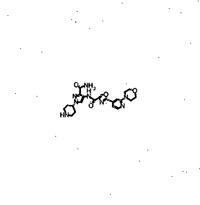 NC(=O)c1nn(C2CCNCC2)cc1NC(=O)c1coc(-c2ccnc(N3CCOCC3)c2)n1